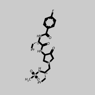 CC(C)C[C@@H](CN1CC(=O)C(NC(=O)[C@H](CC(C)C)NC(=O)c2ccc(F)cc2)C1)NS(C)(=O)=O